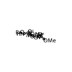 COc1ccc(C2=CC=C3C(C2)Cn2cc(OCCCOc4cn5c(c4OC)C=[N+]([O-])C4=CC=C(c6ccc(NC(=O)CBr)cc6)CC4C5)c(OC)c2C=[N+]3[O-])cc1